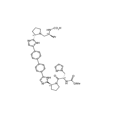 COC(=O)N[C@@H](Cn1cccn1)C(=O)N1CCC[C@H]1c1ncc(-c2ccc(-c3ccc(-c4cnc([C@@H]5CCCN5C[C@@H](NC(=O)O)C(C)C)[nH]4)cc3)cc2)[nH]1